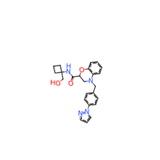 O=C(NC1(CO)CCC1)C1CN(Cc2ccc(-n3cccn3)cc2)c2ccccc2O1